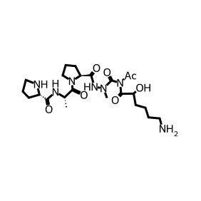 CC(=O)N(C(=O)C(O)CCCCN)C(=O)N(C)NC(=O)[C@@H]1CCCN1C(=O)[C@H](C)NC(=O)[C@@H]1CCCN1